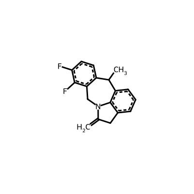 C=C1Cc2cccc3c2N1Cc1c(ccc(F)c1F)C3C